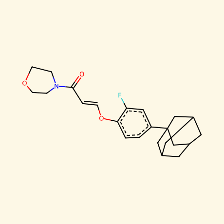 O=C(C=COc1ccc(C23CC4CC(CC(C4)C2)C3)cc1F)N1CCOCC1